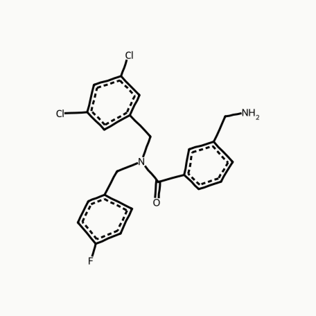 NCc1cccc(C(=O)N(Cc2ccc(F)cc2)Cc2cc(Cl)cc(Cl)c2)c1